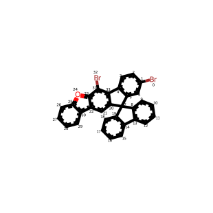 Brc1ccc2c(c1)C1(c3ccccc3-c3ccccc31)c1cc3c(oc4ccccc43)c(Br)c1-2